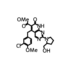 COC(=O)c1c(Cc2ccc(OC)c(Cl)c2)c2cnc(N3CCCC3CO)nc2[nH]c1=O